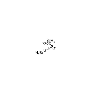 O=C([O-])[O-].[BeH2].[BeH2].[Li+].[Li+]